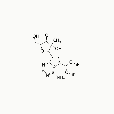 CC(C)OC(OC(C)C)c1cn(C2OC(CO)[C@@H](O)C2(C)O)c2ncnc(N)c12